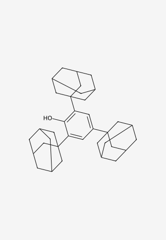 Oc1c(C23CC4CC(CC(C4)C2)C3)cc(C23CC4CC(CC(C4)C2)C3)cc1C12CC3CC(CC(C3)C1)C2